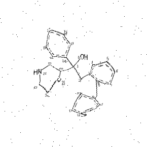 OC(Cc1ccccc1-c1ccsc1)(c1ccccc1)C1CNCCO1